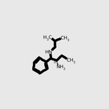 CC[C@H](N)C(NCC(C)C)c1ccccc1